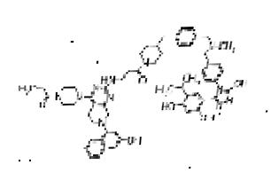 C=CC(=O)N1CCN(c2nc(NCCC(=O)N3CCC(Cc4ccc(CN(C)Cc5ccc(-n6c(O)nnc6-c6cc(C(C)C)c(O)cc6O)cc5)cc4)CC3)nc3c2CCN(c2cc(O)cc4ccccc24)C3)CC1